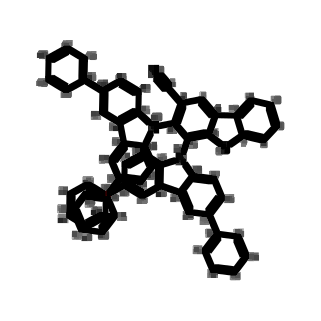 N#Cc1cc2c(sc3ccccc32)c(-n2c3ccc(-c4ccccc4)cc3c3cc(-c4ccccc4)ccc32)c1-n1c2ccc(-c3ccccc3)cc2c2cc(-c3ccccc3)ccc21